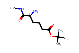 CNC(=O)[C@@H](N)CCCC(=O)OC(C)(C)C